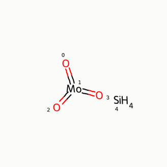 [O]=[Mo](=[O])=[O].[SiH4]